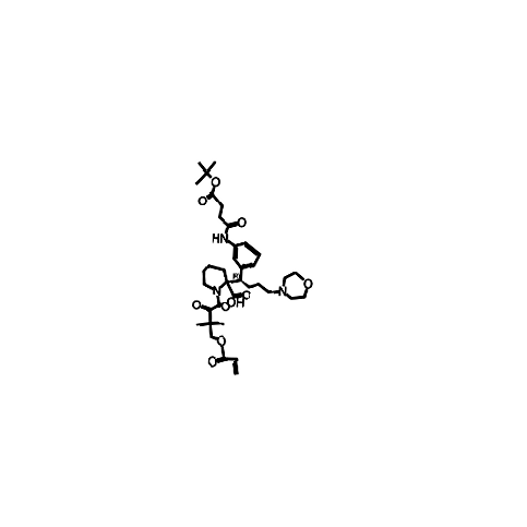 C=CC(=O)OCC(C)(C)C(=O)C(=O)N1CCCCC1(C(=O)O)[C@H](CCCN1CCOCC1)c1cccc(NC(=O)CCC(=O)OC(C)(C)C)c1